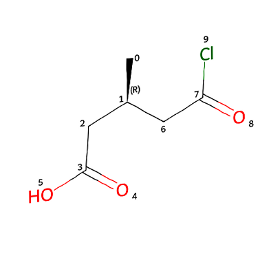 C[C@H](CC(=O)O)CC(=O)Cl